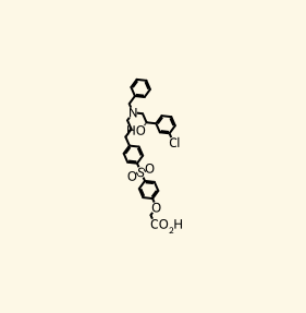 O=C(O)COc1ccc(S(=O)(=O)c2ccc(CCCN(Cc3ccccc3)C[C@@H](O)c3cccc(Cl)c3)cc2)cc1